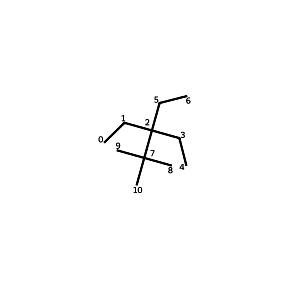 CCC(CC)(CC)C(C)(C)C